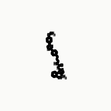 Cc1cs/c(=N\C(=O)NCCCc2ccc(-c3ncn(-c4ccc(OC(F)(F)F)cc4)n3)cc2)n1-c1ccccc1C(C)C